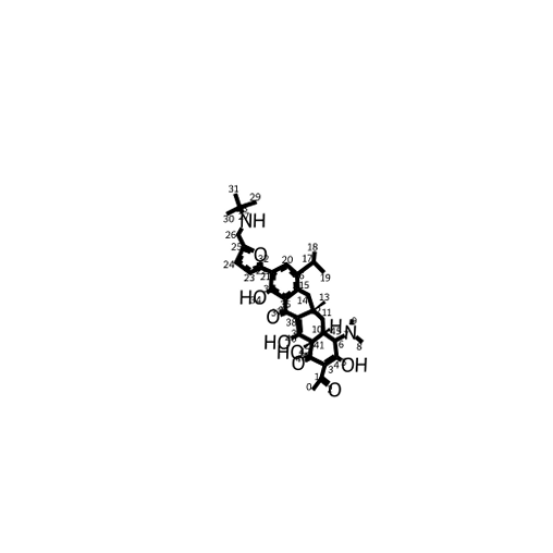 CC(=O)C1=C(O)C(N(C)C)[C@H]2C[C@@]3(C)Cc4c(C(C)C)cc(-c5ccc(CNC(C)(C)C)o5)c(O)c4C(=O)C3=C(O)[C@@]2(O)C1=O